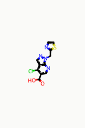 O=C(O)c1cnc2c(cnn2Cc2nccs2)c1Cl